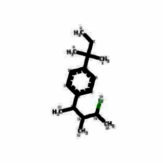 CCC(C)(C)c1ccc(C(C)C(C)C(C)Br)cc1